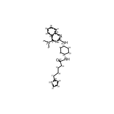 CN(C)c1nc(N[C@H]2CC[C@@H](NC(=O)CCCCc3cccs3)CC2)nc2ccccc12